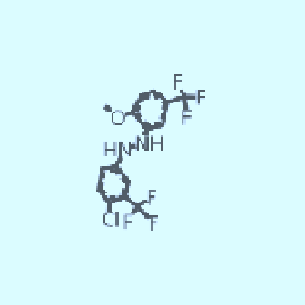 COc1ccc(C(F)(F)F)cc1NNc1ccc(Cl)c(C(F)(F)F)c1